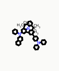 CC1(C)c2cccc3c2-n2c4c1cc(-c1ccc(N(c5ccccc5)c5ccccc5)cc1)cc4c1cc(N(c4ccccc4)c4ccc5ccccc5c4)cc(c12)C3(C)C